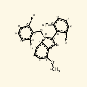 COc1cccc2c1nc(-c1c(F)cccc1F)n2Cc1c(F)cccc1F